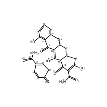 NC(=O)C1=C(O)CC2CC3Sc4cccc(O)c4C(=O)C3=C(O)C2C1=O.NC(=O)C1=CCC(=S)C=C1